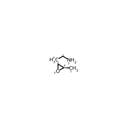 CCN.C[C@@H]1CO1